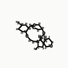 C[C@@H]1C[C@@]2(COCCN2)[C@@H]2COC3CCC(CC3)C3CC(F)CCC3OCCN12